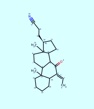 C/C=C1/C(=O)C2C(CCC3(C)C2CC[C@@H]3CCC#N)C2(C)CCCCC12